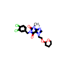 Cn1c(=O)n(Cc2ccc(Cl)c(Cl)c2)c(=O)c2c1ncn2CCOC1CCCCO1